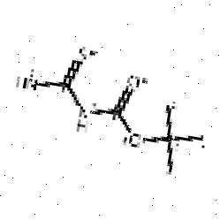 CC(C)(C)OC(=O)NC([NH])=S